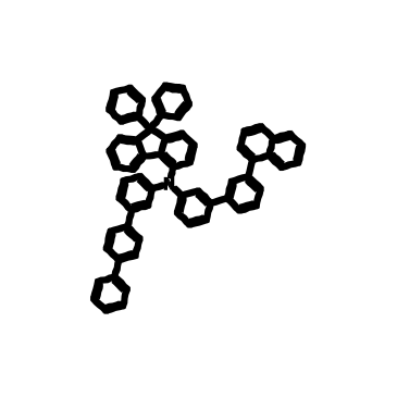 c1ccc(-c2ccc(-c3cccc(N(c4cccc(-c5cccc(-c6cccc7ccccc67)c5)c4)c4cccc5c4-c4ccccc4C5(c4ccccc4)c4ccccc4)c3)cc2)cc1